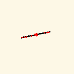 CCCCCCCCCCCCCCCC=COOCCCCCCCCCCCCCCCC